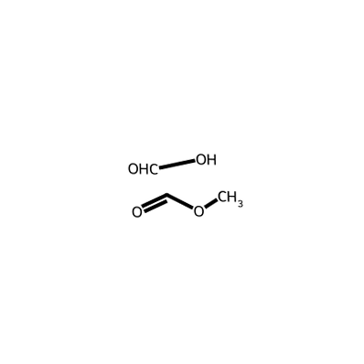 COC=O.O=CO